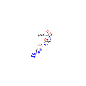 COCC1=C(N2CCC3(CCN(C[C@H](O)c4ccc(-n5cnnn5)nn4)CC3)C2=O)COC1=O